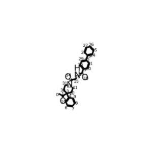 CC(=O)C1(c2ccccc2)CCN(C(=O)CNC(=O)c2ccc(-c3ccccc3)cc2)CC1